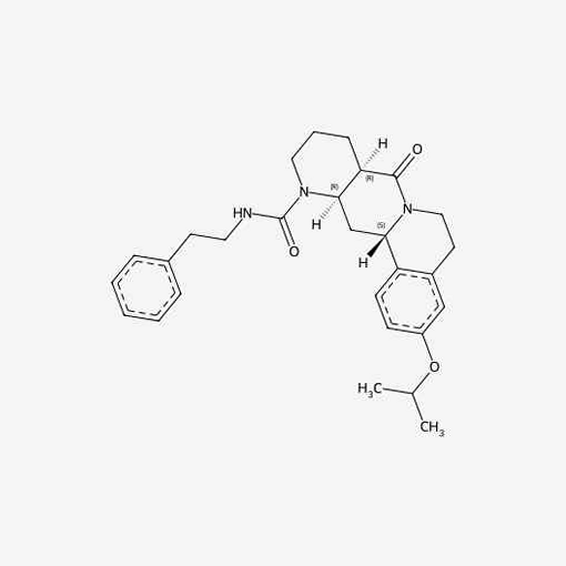 CC(C)Oc1ccc2c(c1)CCN1C(=O)[C@@H]3CCCN(C(=O)NCCc4ccccc4)[C@@H]3C[C@@H]21